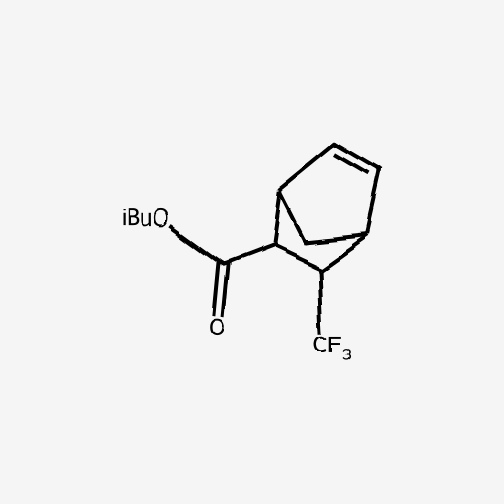 CC(C)COC(=O)C1C2C=CC(C2)C1C(F)(F)F